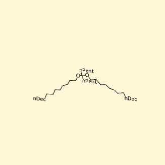 CCCCCCCCCCCCCCCCCCOC(CCCCC)(CCCCC)OCCCCCCCCCCCCCCCCCC